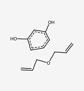 C=CCOCC=C.Oc1cccc(O)c1